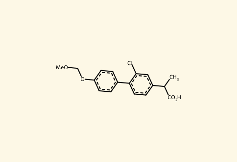 COCOc1ccc(-c2ccc(C(C)C(=O)O)cc2Cl)cc1